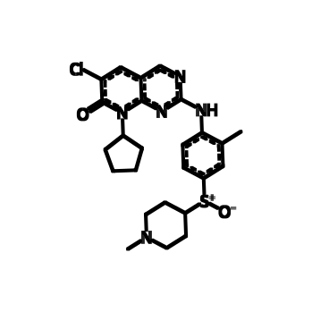 Cc1cc([S+]([O-])C2CCN(C)CC2)ccc1Nc1ncc2cc(Cl)c(=O)n(C3CCCC3)c2n1